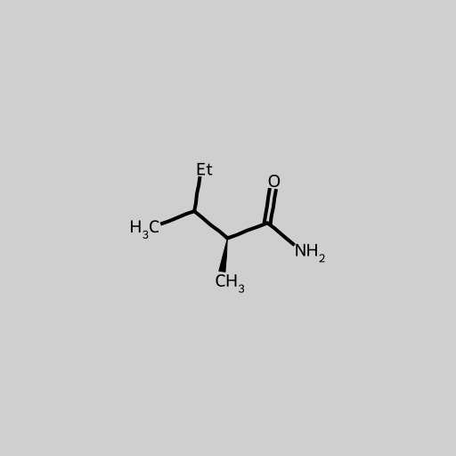 CCC(C)[C@H](C)C(N)=O